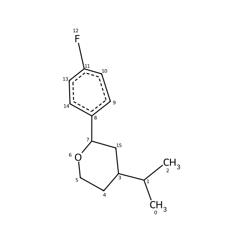 CC(C)C1CCOC(c2ccc(F)cc2)C1